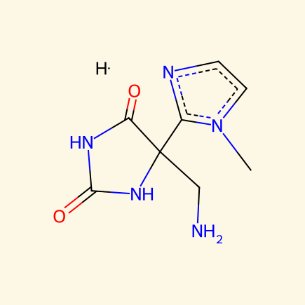 Cn1ccnc1C1(CN)NC(=O)NC1=O.[H]